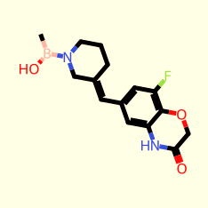 CB(O)N1CCC/C(=C\c2cc(F)c3c(c2)NC(=O)CO3)C1